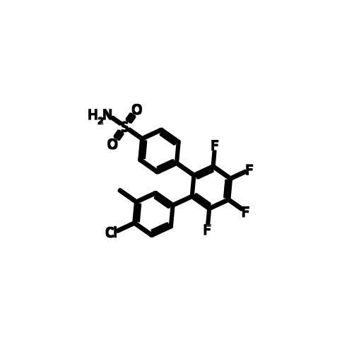 Cc1cc(-c2c(F)c(F)c(F)c(F)c2-c2ccc(S(N)(=O)=O)cc2)ccc1Cl